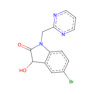 O=C1C(O)c2cc(Br)ccc2N1Cc1ncccn1